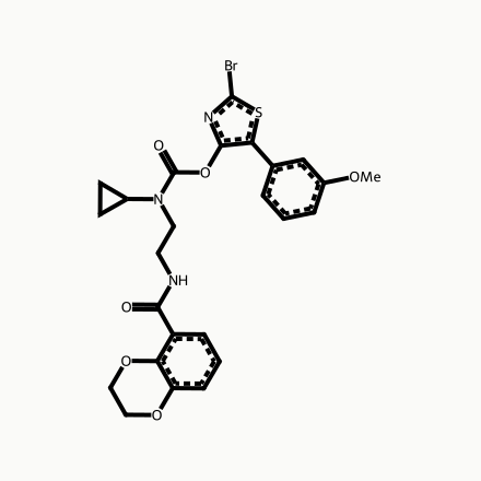 COc1cccc(-c2sc(Br)nc2OC(=O)N(CCNC(=O)c2cccc3c2OCCO3)C2CC2)c1